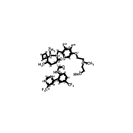 COCCN(C)CCOc1cnc(CN2C(=O)[C@H](C(=O)Nc3ccc(C(F)(F)F)cc3-c3cc(C(F)(F)F)ncn3)C=C(C)C3(CCC3)N2C)c(F)c1F